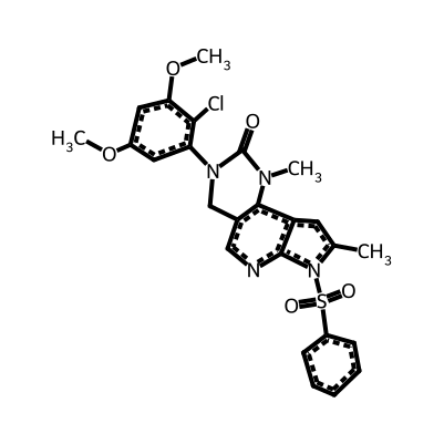 COc1cc(OC)c(Cl)c(N2Cc3cnc4c(cc(C)n4S(=O)(=O)c4ccccc4)c3N(C)C2=O)c1